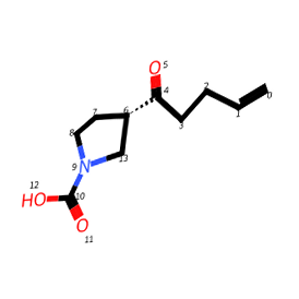 C=CCCC(=O)[C@H]1CCN(C(=O)O)C1